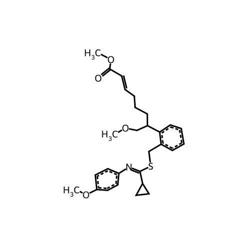 COCC(CCCC=CC(=O)OC)c1ccccc1CSC(=Nc1ccc(OC)cc1)C1CC1